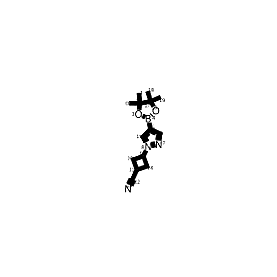 CC1(C)OB(c2cnn(C3CC(C#N)C3)c2)OC1(C)C